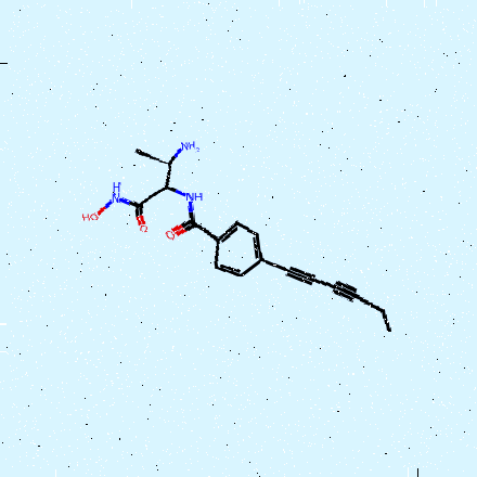 CCC#CC#Cc1ccc(C(=O)NC(C(=O)NO)[C@@H](C)N)cc1